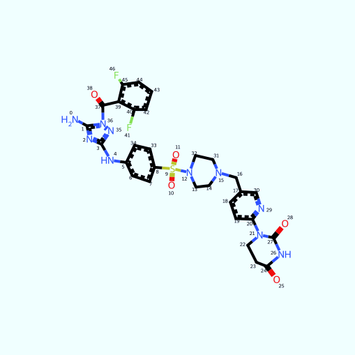 Nc1nc(Nc2ccc(S(=O)(=O)N3CCN(Cc4ccc(N5CCC(=O)NC5=O)nc4)CC3)cc2)nn1C(=O)c1c(F)cccc1F